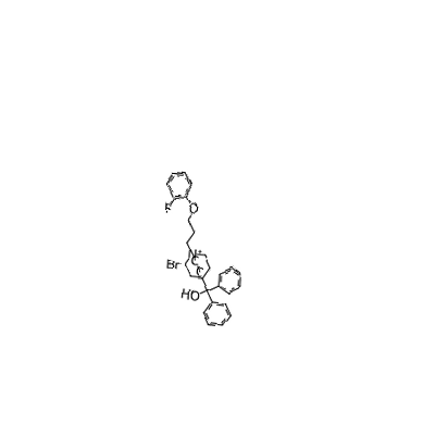 OC(c1ccccc1)(c1ccccc1)C12CC[N+](CCCOc3ccccc3F)(CC1)CC2.[Br-]